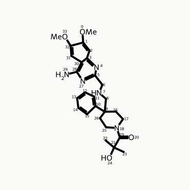 COc1cc2nc(CNCC3(c4ccccc4)CCN(C(=O)C(C)(C)O)CC3)nc(N)c2cc1OC